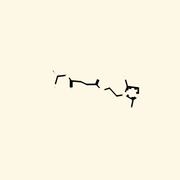 Cc1ncc(N=O)n1CCOC(=O)CCC(=O)N[C@H](C(=O)O)C(C)C